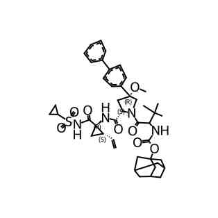 C=C[C@@H]1C[C@]1(NC(=O)[C@@H]1C[C@@](OC)(c2ccc(-c3ccccc3)cc2)CN1C(=O)C(NC(=O)OC12CC3CC(CC(C3)C1)C2)C(C)(C)C)C(=O)NS(=O)(=O)C1CC1